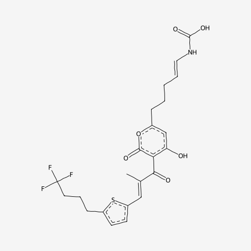 C/C(=C\c1ccc(CCCC(F)(F)F)s1)C(=O)c1c(O)cc(CCC/C=C/NC(=O)O)oc1=O